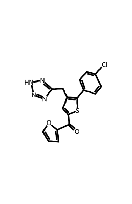 O=C(c1ccco1)c1cc(Cc2nn[nH]n2)c(-c2ccc(Cl)cc2)s1